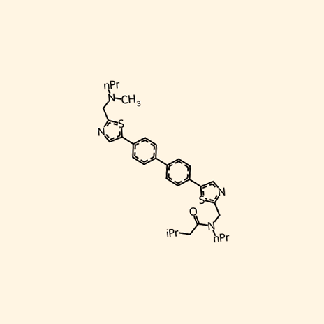 CCCN(C)Cc1ncc(-c2ccc(-c3ccc(-c4cnc(CN(CCC)C(=O)CC(C)C)s4)cc3)cc2)s1